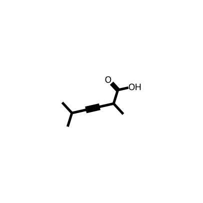 CC(C)C#CC(C)C(=O)O